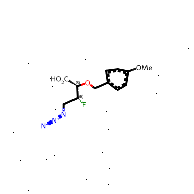 COc1ccc(CO[C@H](C(=O)O)[C@H](F)CN=[N+]=[N-])cc1